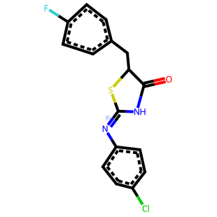 O=C1N/C(=N\c2ccc(Cl)cc2)SC1Cc1ccc(F)cc1